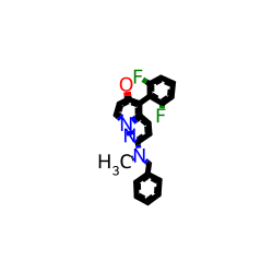 CN(Cc1ccccc1)c1ccc2c(-c3c(F)cccc3F)c(=O)ccn2n1